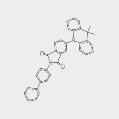 CC1(C)c2ccccc2N(c2ccc3c(c2)C(=O)N(c2ccc(-c4ccccc4)cc2)C3=O)c2ccccc21